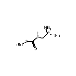 CC(C)(C)OC(=O)NC[C@H](N)C(C)(C)C